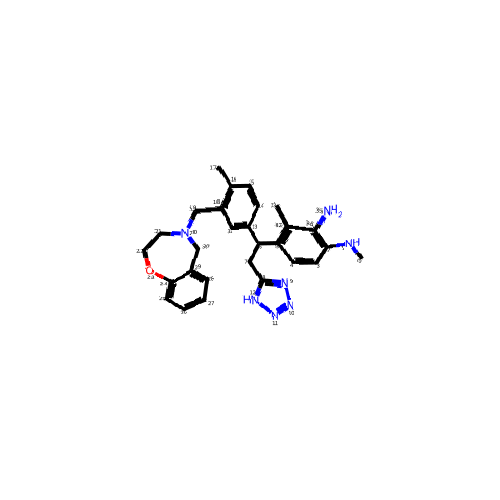 CNc1ccc(C(Cc2nnn[nH]2)c2ccc(C)c(CN3CCOc4ccccc4C3)c2)c(C)c1N